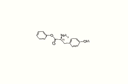 N[C@@H](Cc1ccc(O)cc1)C(=O)Oc1ccccc1